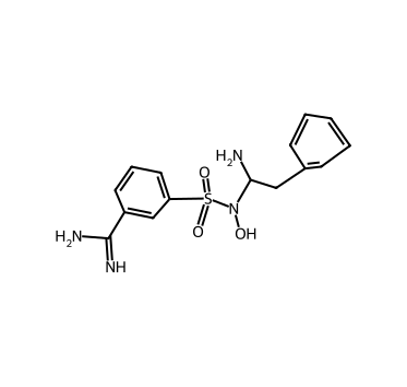 N=C(N)c1cccc(S(=O)(=O)N(O)C(N)Cc2ccccc2)c1